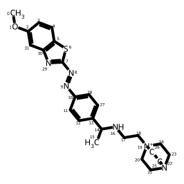 COc1ccc2sc(N=Nc3ccc(C(C)NCC[N+]45CCN(CC4)CC5)cc3)nc2c1